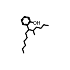 CCCCCCC(c1ccccc1O)C(C)CCCC